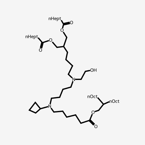 CCCCCCCCC(CCCCCCCC)COC(=O)CCCCCN(CCCCN(CCO)CCCCC(COC(=O)CCCCCCC)COC(=O)CCCCCCC)C1CCC1